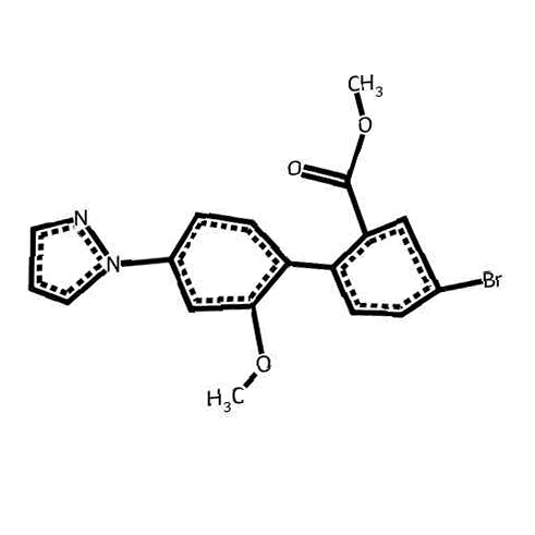 COC(=O)c1cc(Br)ccc1-c1ccc(-n2cccn2)cc1OC